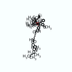 [C-]#[N+]CCOP(O[C@@H]1C(O[Si](C)(C)C(C)(C)C)[C@H](c2cc(CNC(=O)CCCCCNC(=O)O[C@H]3CC[C@@]4(C)C(=CCC5[C@@H]6CC[C@H]([C@H](C)CCCC(C)C)[C@@]6(C)CC[C@@H]54)C3)c(F)cc2F)O[C@@H]1COC(c1ccccc1)(c1ccccc1)c1ccc(OC)cc1)N(C(C)C)C(C)C